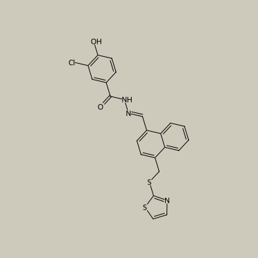 O=C(N/N=C/c1ccc(CSc2nccs2)c2ccccc12)c1ccc(O)c(Cl)c1